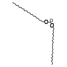 CCCCCCCCCCCCCCCCCCCCCCc1ccc(C(=O)c2ccc(CCCCCCCCCCCCCCCCCCCCCC)cc2)cc1